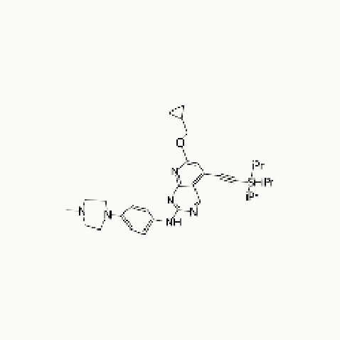 CC(C)[Si](C#Cc1cc(OCC2CC2)nc2nc(Nc3ccc(N4CCN(C)CC4)cc3)ncc12)(C(C)C)C(C)C